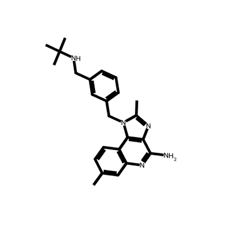 Cc1ccc2c(c1)nc(N)c1nc(C)n(Cc3cccc(CNC(C)(C)C)c3)c12